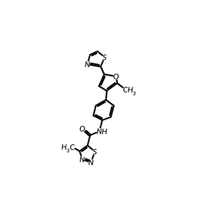 Cc1nnsc1C(=O)Nc1ccc(-c2cc(-c3nccs3)oc2C)cc1